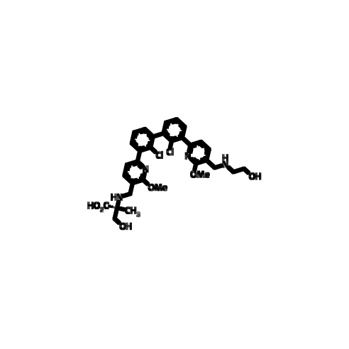 COc1nc(-c2cccc(-c3cccc(-c4ccc(CN[C@@](C)(CO)C(=O)O)c(OC)n4)c3Cl)c2Cl)ccc1CNCCO